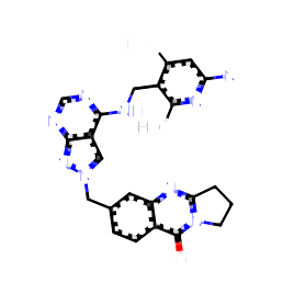 Cc1cc(N)nc(C)c1CNc1ncnc2nn(Cc3ccc4c(=O)n5c(nc4c3)CCC5)cc12